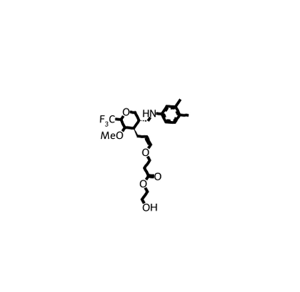 COC1C(C(F)(F)F)OC[C@H](CNc2ccc(C)c(C)c2)[C@H]1C/C=C\OCCC(=O)OCCO